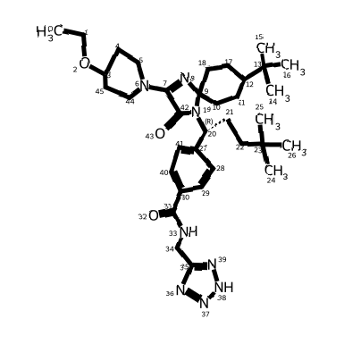 CCOC1CCN(C2=NC3(CCC(C(C)(C)C)CC3)N([C@H](CCC(C)(C)C)c3ccc(C(=O)NCc4nn[nH]n4)cc3)C2=O)CC1